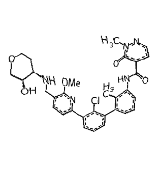 COc1nc(-c2cccc(-c3cccc(NC(=O)c4ccnn(C)c4=O)c3C)c2Cl)ccc1CN[C@@H]1CCOC[C@@H]1O